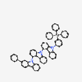 c1ccc(-c2ccc3c4ccccc4n(-c4cccc5c4c4ccccc4n5-c4cccc5c4c4ccccc4n5-c4cccc([Si](c5ccccc5)(c5ccccc5)c5ccccc5)c4)c3c2)cc1